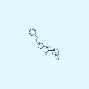 O=C(NC1CCN(CCc2ccccc2)C1)C1C[N+]2([O-])CCC1CC2